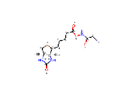 O=C(CI)NOC(=O)CCCC[C@@H]1SC[C@@H]2NC(=O)N[C@@H]21